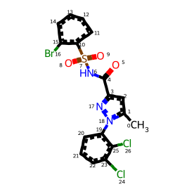 Cc1cc(C(=O)NS(=O)(=O)c2ccccc2Br)nn1-c1cccc(Cl)c1Cl